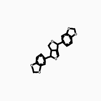 C1=C2C(c3ccc4c(c3)OCO4)OCC2C(c2ccc3c(c2)OCO3)O1